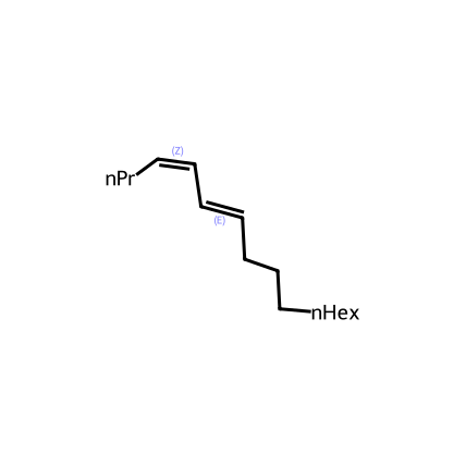 CCC/C=C\C=C\CCCCCCCCC